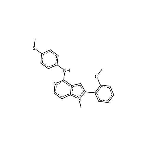 COc1ccccc1-c1cc2c(Nc3ccc(SC)cc3)nccc2n1C